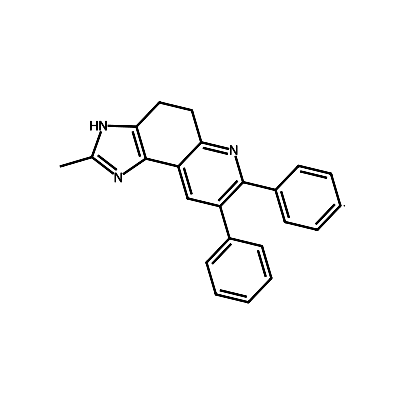 Cc1nc2c([nH]1)CCc1nc(-c3cc[c]cc3)c(-c3ccccc3)cc1-2